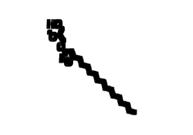 CCCCCCCCCCCCCCCc1cc(OCC(CO)OC)no1